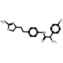 CC(C(=O)Nc1ccc(CCC2COC(N)=N2)cc1)c1ccc(Cl)cc1